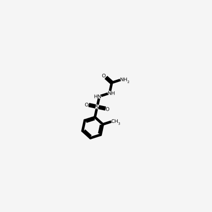 Cc1ccccc1S(=O)(=O)NNC(N)=O